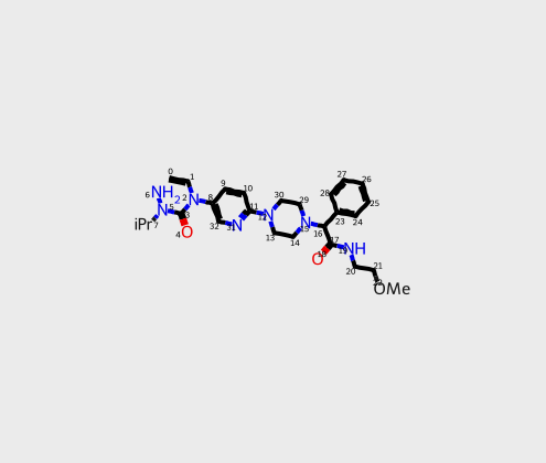 C=CN(C(=O)N(N)C(C)C)c1ccc(N2CCN(C(C(=O)NCCOC)c3ccccc3)CC2)nc1